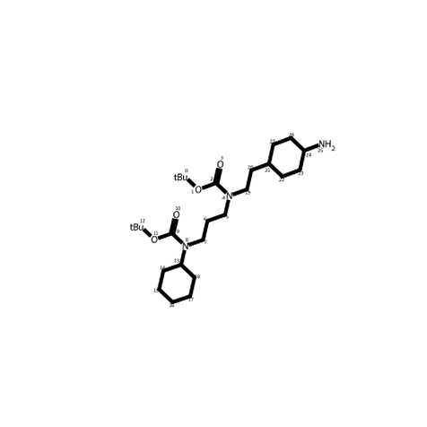 CC(C)(C)OC(=O)N(CCCN(C(=O)OC(C)(C)C)C1CCCCC1)CCC1CCC(N)CC1